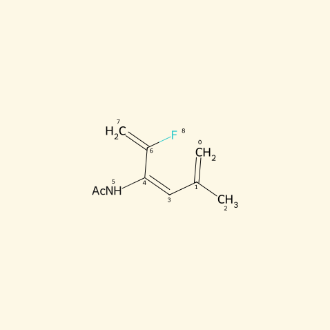 C=C(C)/C=C(/NC(C)=O)C(=C)F